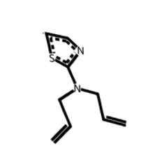 C=CCN(CC=C)c1nc[c]s1